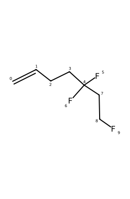 C=CCCC(F)(F)CCF